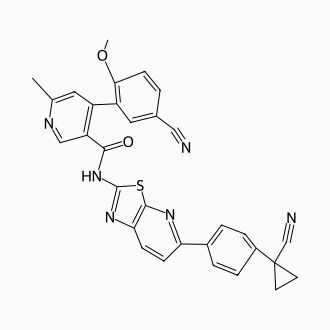 COc1ccc(C#N)cc1-c1cc(C)ncc1C(=O)Nc1nc2ccc(-c3ccc(C4(C#N)CC4)cc3)nc2s1